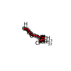 Cc1sc2c(c1C)C(c1ccc(Cl)cc1)=N[C@@H](CC(=O)NCCOCCOCCC(=O)N1CCN(c3ccc(-c4ccc5c(c4)CC(=O)N5)cn3)CC1)c1nnc(C)n1-2